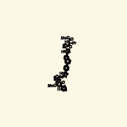 COC(=O)N[C@H](C(=O)N1CCC[C@H]1c1ncc(-c2ccc3cc(-c4ccc(-c5cnc(CCC6(CNC(=O)[C@H](NC(=O)OC)c7ccccc7)OCCO6)[nH]5)cc4)ccc3c2)[nH]1)C(C)C